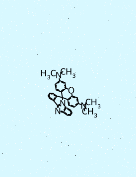 CN(C)c1ccc2c(c1)Oc1cc(N(C)C)ccc1C21c2ccccc2-c2nc3ccccc3n21